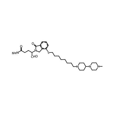 CNC(=O)CCC(C=O)N1Cc2c(SCCCCCCCCN3CCC(N4CCN(C)CC4)CC3)cccc2C1=O